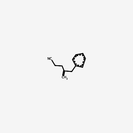 C=C(CCC#N)Cc1ccccc1